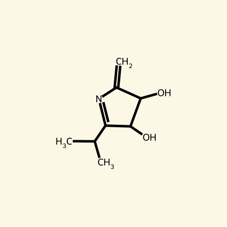 C=C1N=C(C(C)C)C(O)C1O